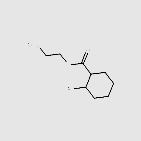 COCCOC(=O)C1CCCCC1C(C)=O